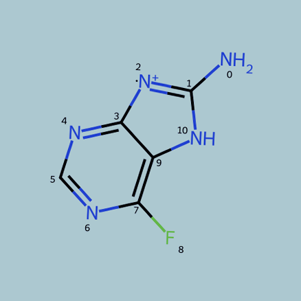 NC1=[N+]c2ncnc(F)c2N1